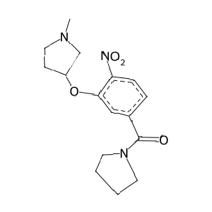 CN1CCC(Oc2cc(C(=O)N3CCCC3)ccc2[N+](=O)[O-])C1